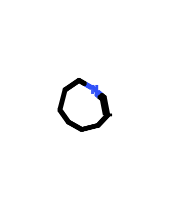 [C]1=C=NCCCCCC1